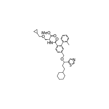 COC(=O)[C@H](COCC1CC1)NC(=O)c1ccc(COC(CCC2CCCCC2)c2cncs2)cc1-c1ccccc1C